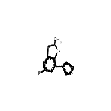 CC1Cc2cc(F)cc(-c3ccsc3)c2O1